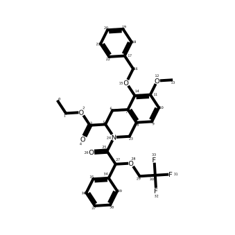 CCOC(=O)C1Cc2c(ccc(OC)c2OCc2ccccc2)CN1C(=O)C(OCC(F)(F)F)c1ccccc1